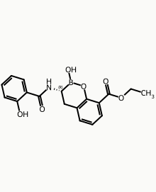 CCOC(=O)c1cccc2c1OB(O)[C@@H](NC(=O)c1ccccc1O)C2